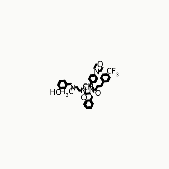 CN(CCN(C)C(=O)[C@H](Cc1ccccc1)N(Cc1ccc(N2CCOCC2)cc1)C(=O)/C=C/c1ccc(C(F)(F)F)cc1)Cc1cccc(O)c1